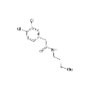 CC(C)(C)SCCNC(=O)Cc1ccc(Cl)c(Cl)c1